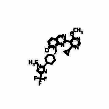 COc1ncnc(C2CC2)c1-c1ncc2ccc(=O)n(C[C@H]3CC[C@H](c4nc(C(F)(F)F)cn4C)CC3)c2n1